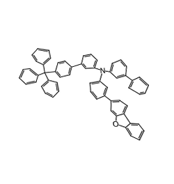 c1ccc(-c2cccc(N(c3cccc(-c4ccc(C(c5ccccc5)(c5ccccc5)c5ccccc5)cc4)c3)c3cccc(-c4ccc5c(c4)oc4ccccc45)c3)c2)cc1